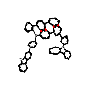 c1ccc(-c2ccc(-c3ccccc3N(c3ccc(-c4cccc(-c5cccc(-n6c7ccccc7c7ccccc76)c5)c4)cc3)c3ccc(-c4ccc5c(c4)oc4ccccc45)cc3)cc2)cc1